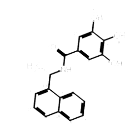 C[C@H](NC(=O)c1cc(O)c(O)c(O)c1)c1cccc2ccccc12